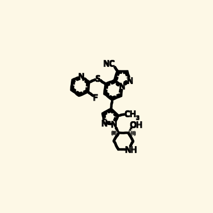 Cc1c(-c2cc(Sc3ncccc3F)c3c(C#N)cnn3c2)cnn1[C@@H]1CCNC[C@H]1O